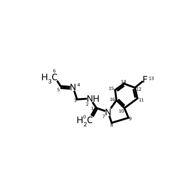 C=C(NC/N=C/C)N1CCc2cc(F)ccc21